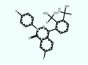 O=c1c2cc(F)ccc2c(-c2cccc(C(O)(O)F)c2C(O)(O)F)nn1-c1ccc(F)cc1